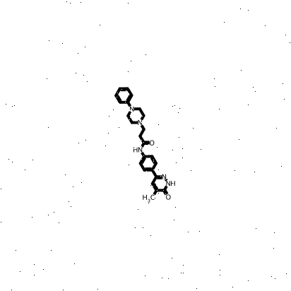 Cc1cc(-c2ccc(NC(=O)CCN3CCN(c4ccccc4)CC3)cc2)n[nH]c1=O